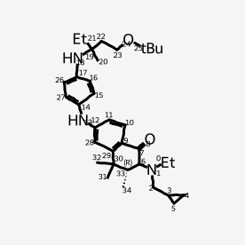 CCN(CC1CC1)C1C(=O)c2ccc(Nc3ccc(NC(C)(CC)CCOC(C)(C)C)cc3)cc2C(C)(C)[C@H]1C